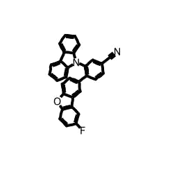 N#Cc1ccc(-c2ccc3oc4ccc(F)cc4c3c2)c(-n2c3ccccc3c3ccccc32)c1